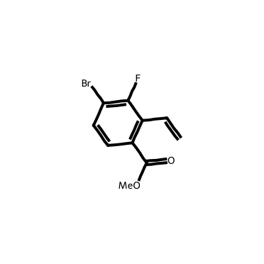 C=Cc1c(C(=O)OC)ccc(Br)c1F